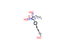 C/C=C\c1nc(-c2ccc(C#CC#CC3CC(CO)C3)cc2)cc(C(=O)NO)c1/C=N/O